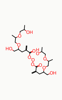 C=C(CC(CO)OCC(C)OCC(C)O)C(=O)OOOC(=O)C(=C)CC(CO)OCC(C)OCC(C)O